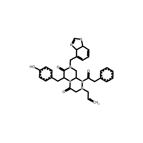 C=CCN1CC(=O)N2C(Cc3ccc(O)cc3)C(=O)N(CC3=CC=CC4SC=NC34)CC2N1C(=O)Cc1ccccc1